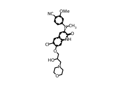 COc1cc(N(C)c2cc3cc(Cl)c(OCC(O)CN4CCOCC4)cc3[nH]c2=O)ccc1C#N